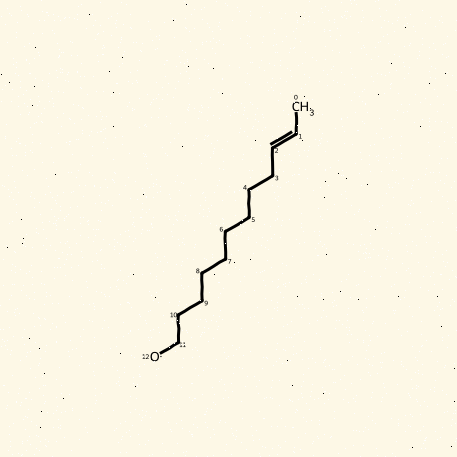 CC=CCCCCCCCCC[O]